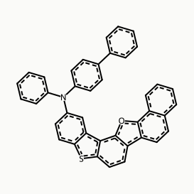 c1ccc(-c2ccc(N(c3ccccc3)c3ccc4sc5ccc6c7ccc8ccccc8c7oc6c5c4c3)cc2)cc1